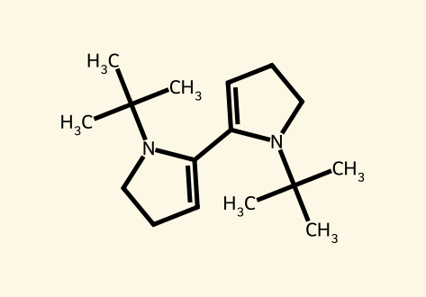 CC(C)(C)N1CCC=C1C1=CCCN1C(C)(C)C